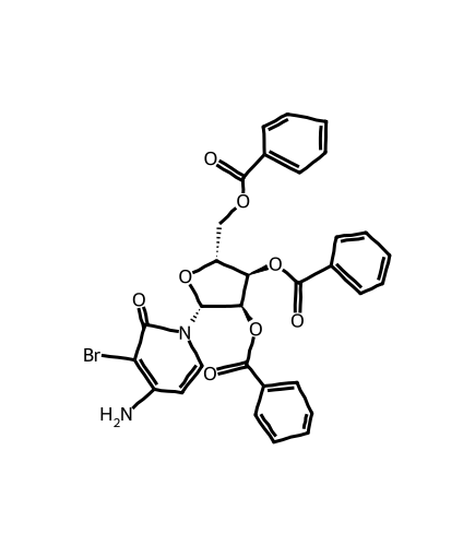 Nc1ccn([C@@H]2O[C@H](COC(=O)c3ccccc3)[C@@H](OC(=O)c3ccccc3)[C@H]2OC(=O)c2ccccc2)c(=O)c1Br